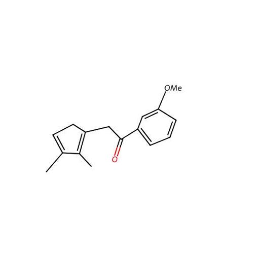 COc1cccc(C(=O)CC2=C(C)C(C)=CC2)c1